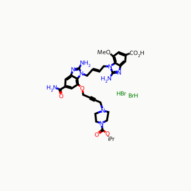 Br.Br.COc1cc(C(=O)O)cc2nc(N)n(CC=CCn3c(N)nc4cc(C(N)=O)cc(OCC#CCN5CCN(C(=O)OC(C)C)CC5)c43)c12